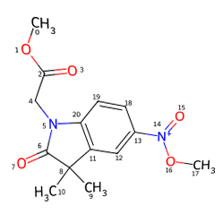 COC(=O)CN1C(=O)C(C)(C)c2cc([N+](=O)OC)ccc21